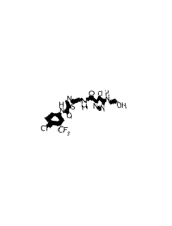 O=C(Nc1ccc(Cl)c(C(F)(F)F)c1)c1cnc(CNC(=O)c2ncnc(NCCO)c2Cl)s1